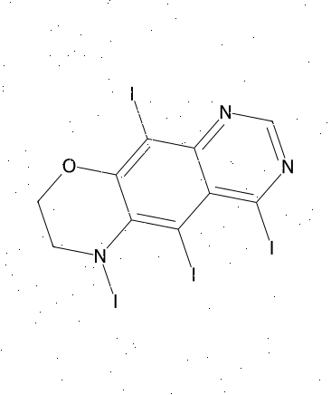 Ic1c2c(c(I)c3c(I)ncnc13)N(I)CCO2